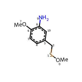 COSCc1ccc(OC)c(N)c1